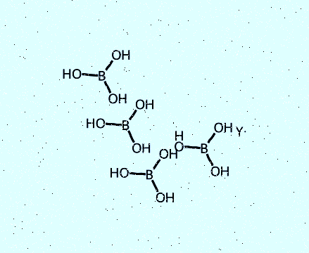 OB(O)O.OB(O)O.OB(O)O.OB(O)O.[Y]